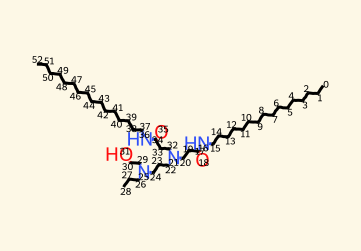 CCCCCCCCCCCCCCCCNC(=O)CCN(CCCN(CCC)CCO)CCC(=O)NCCCCCCCCCCCCCCCC